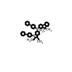 C=Cc1c(C=C)n(-c2ccc(-c3ccccc3)cc2)c2cc(N(c3ccc(-c4ccccc4)cc3)c3ccc4c(c3)C(C)(C)c3ccccc3-4)ccc12